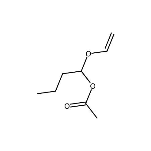 C=COC(CCC)OC(C)=O